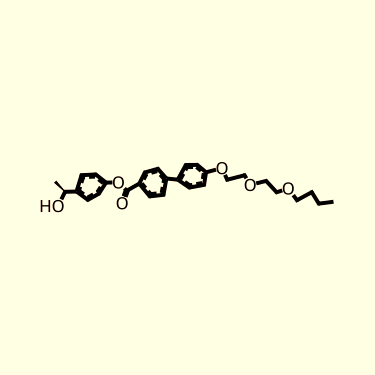 CCCCOCCOCCOc1ccc(-c2ccc(C(=O)Oc3ccc([C@H](C)O)cc3)cc2)cc1